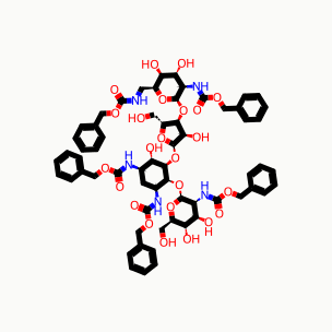 O=C(NC[C@@H]1O[C@H](O[C@H]2[C@@H](O)[C@H](O[C@@H]3[C@@H](O)[C@H](NC(=O)OCc4ccccc4)C[C@H](NC(=O)OCc4ccccc4)[C@H]3O[C@H]3O[C@H](CO)[C@@H](O)[C@H](O)[C@H]3NC(=O)OCc3ccccc3)O[C@@H]2CO)[C@H](NC(=O)OCc2ccccc2)[C@@H](O)[C@@H]1O)OCc1ccccc1